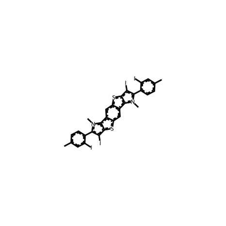 Cc1ccc(-c2c(I)c3sc4cc5c(cc4c3n2C)sc2c(I)c(-c3ccc(C)cc3I)n(C)c25)c(I)c1